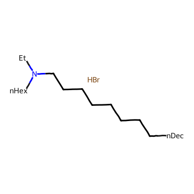 Br.CCCCCCCCCCCCCCCCCCN(CC)CCCCCC